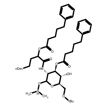 CCCCCCCCCCCCC(OC(=O)CCCCc1ccccc1)C(=O)N[C@H]1C(O[SiH](C)C)O[C@H](COC(C)(C)C)[C@@H](O)[C@@H]1OC(=O)CCCCc1ccccc1